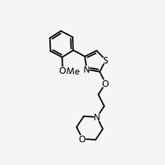 COc1ccccc1-c1csc(OCCN2CCOCC2)n1